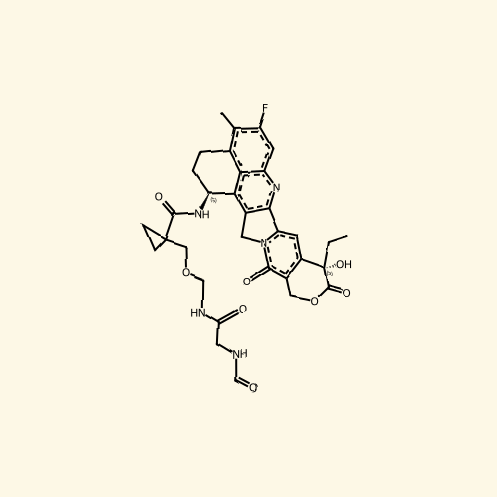 CC[C@@]1(O)C(=O)OCc2c1cc1n(c2=O)Cc2c-1nc1cc(F)c(C)c3c1c2[C@@H](NC(=O)C1(COCNC(=O)CNC=O)CC1)CC3